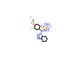 NS(=O)(=O)NC(c1ccc(OCF)c(F)c1)n1nnc2ccccc21